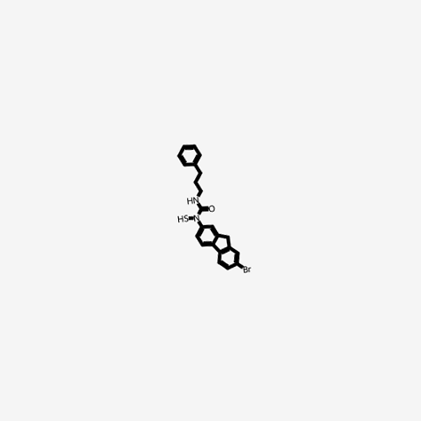 O=C(NCCCc1ccccc1)N(S)c1ccc2c(c1)Cc1cc(Br)ccc1-2